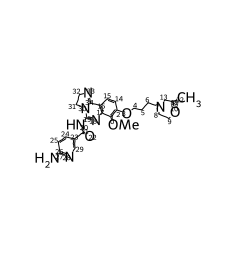 COc1c(OCCCN2CCO[C@H](C)C2)ccc2c1N=C(NC(=O)c1ccc(N)nc1)N1CCN=C21